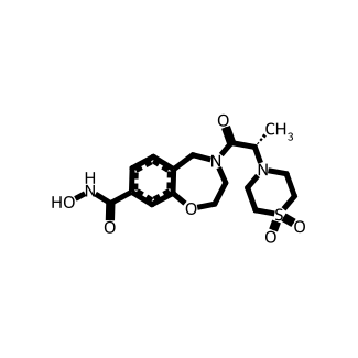 C[C@@H](C(=O)N1CCOc2cc(C(=O)NO)ccc2C1)N1CCS(=O)(=O)CC1